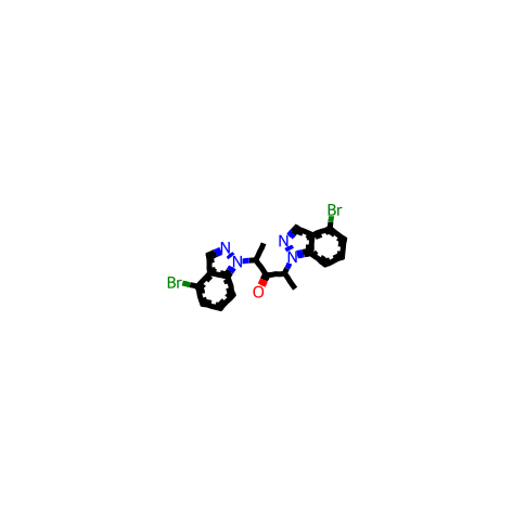 CC(C(=O)C(C)n1ncc2c(Br)cccc21)n1ncc2c(Br)cccc21